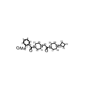 COc1ccccc1C(=O)N1CCN(CC(=O)N2CCN(C3CCC3)CC2)CC1